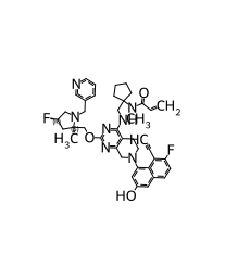 C#Cc1c(F)ccc2cc(O)cc(N3CCc4c(nc(OC[C@]5(C)C[C@@H](F)CN5Cc5cccnc5)nc4NCC4(N(C)C(=O)C=C)CCCC4)C3)c12